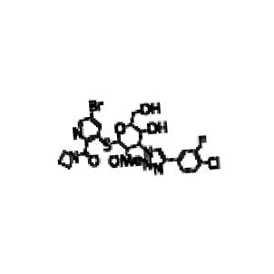 COC1C(Sc2cc(Br)cnc2C(=O)N2CCC2)OC(CO)C(O)C1n1cc(-c2ccc(Cl)c(F)c2)nn1